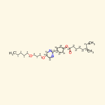 CCCCCOCCCOc1cnc(-c2ccc(OC(=O)CCCCC(C)CC)cc2)nc1